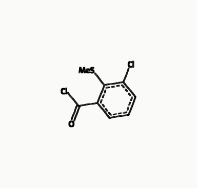 CSc1c(Cl)cccc1C(=O)Cl